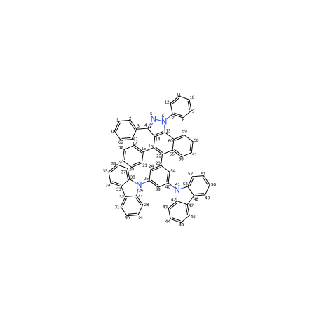 c1ccc(-c2nn(-c3ccccc3)c3c2c(-c2ccccc2)c(-c2cc(-n4c5ccccc5c5ccccc54)cc(-n4c5ccccc5c5ccccc54)c2)c2ccccc23)cc1